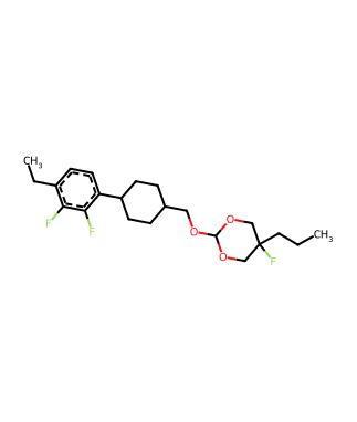 CCCC1(F)COC(OCC2CCC(c3ccc(CC)c(F)c3F)CC2)OC1